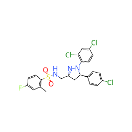 Cc1cc(F)ccc1S(=O)(=O)NCC1=NN(c2ccc(Cl)cc2Cl)[C@@H](c2ccc(Cl)cc2)C1